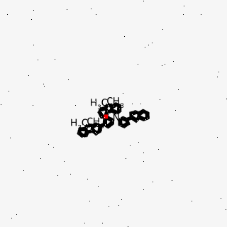 CC1(C)c2ccccc2-c2ccc(-c3ccc(N(c4cccc(-c5ccc6ccccc6c5)c4)c4cccc5c4-c4ccccc4C5(C)C)cc3)cc21